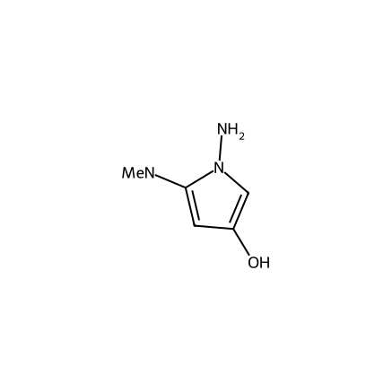 CNc1cc(O)cn1N